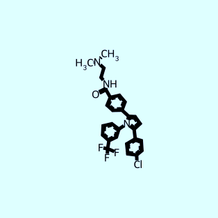 CN(C)CCNC(=O)c1ccc(-c2ccc(-c3ccc(Cl)cc3)n2-c2cccc(C(F)(F)F)c2)cc1